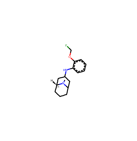 CN1C2CCC[C@@H]1CC(Nc1ccccc1OCF)C2